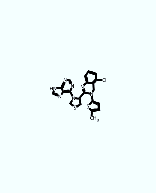 Cc1ccc(N2Cc3c(Cl)cccc3N=C2C2CSCN2c2ncnc3[nH]cnc23)s1